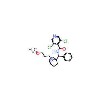 COCCCN1C2CCC1(C(NC(=O)c1c(Cl)cncc1Cl)c1ccccc1)CC2